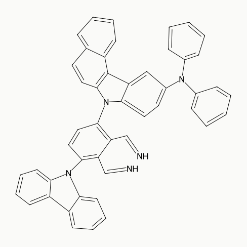 N=Cc1c(-n2c3ccccc3c3ccccc32)ccc(-n2c3ccc(N(c4ccccc4)c4ccccc4)cc3c3c4ccccc4ccc32)c1C=N